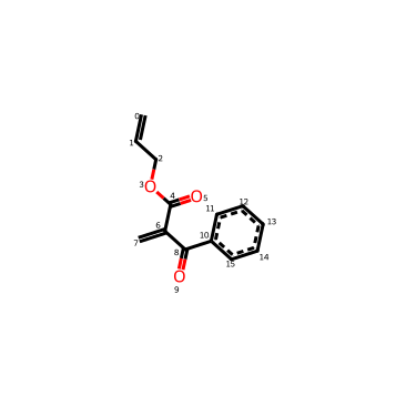 C=CCOC(=O)C(=C)C(=O)c1ccccc1